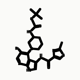 Cc1nc(C(=O)Nc2c[nH]c3ncc(Br)c(N4CCCC(NC(=O)OC(C)(C)C)C4)c23)cs1